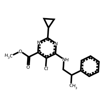 COC(=O)c1nc(C2CC2)nc(NCC(C)c2ccccc2)c1Cl